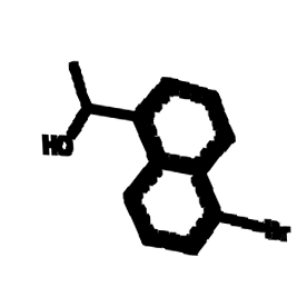 CC(O)c1cccc2c(Br)cccc12